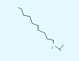 CCCCCCCCCCCCCCCCCC[NH+]([O-])C(C)O